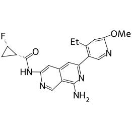 CCc1cc(OC)ncc1-c1cc2cc(NC(=O)[C@@H]3C[C@@H]3F)ncc2c(N)n1